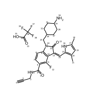 C#CCNC(=O)c1ccc2c(c1F)/C(=C/c1[nH]c(C)cc1C)C(=O)N2CC1CCC(N)CC1.O=C(O)C(F)(F)F